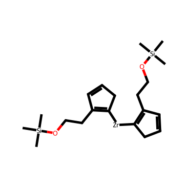 C[Si](C)(C)OCCC1=[C]([Zr][C]2=C(CCO[Si](C)(C)C)C=CC2)CC=C1